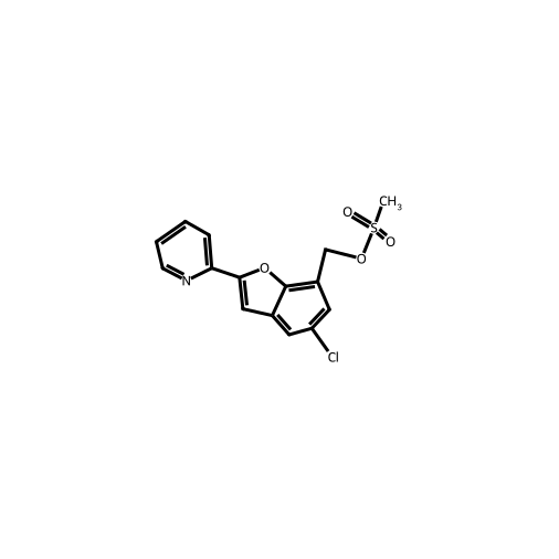 CS(=O)(=O)OCc1cc(Cl)cc2cc(-c3ccccn3)oc12